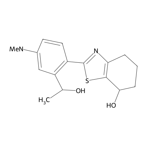 CNc1ccc(-c2nc3c(s2)C(O)CCC3)c(C(C)O)c1